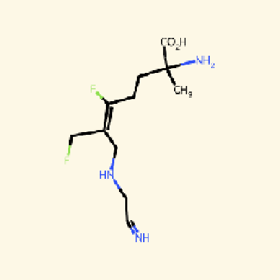 CC(N)(CCC(F)=C(CF)CNCC=N)C(=O)O